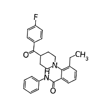 CCc1cccc(C(=O)Nc2ccccc2)c1N1CCC(C(=O)c2ccc(F)cc2)CC1